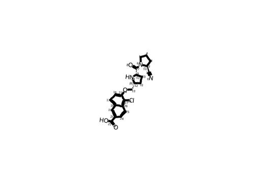 N#C[C@@H]1CCCN1C(=O)[C@@H]1CC[C@H](COc2ccc3cc(C(=O)O)ccc3c2Cl)N1